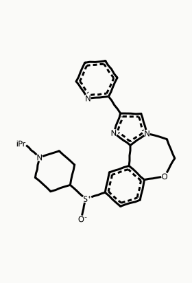 CC(C)N1CCC([S+]([O-])c2ccc3c(c2)-c2nc(-c4ccccn4)cn2CCO3)CC1